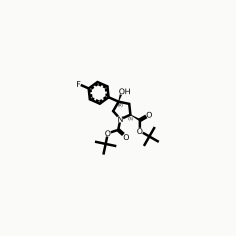 CC(C)(C)OC(=O)[C@@H]1C[C@@](O)(c2ccc(F)cc2)CN1C(=O)OC(C)(C)C